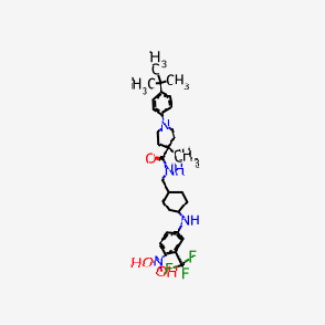 CC1(C(=O)NCC2CCC(Nc3ccc(N(O)O)c(C(F)(F)F)c3)CC2)CCN(c2ccc(C(C)(C)C)cc2)CC1